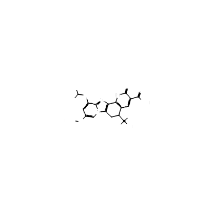 COc1cc(OC(F)F)c2nc3c(n2c1)CC(C(C)(C)C)c1cc(C(=O)O)c(=O)[nH]c1-3